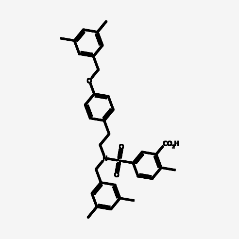 Cc1cc(C)cc(COc2ccc(CCN(Cc3cc(C)cc(C)c3)S(=O)(=O)c3ccc(C)c(C(=O)O)c3)cc2)c1